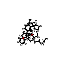 CC#N.CCCN(CCc1ccccc1)C(CC)CCc1c(C2(C(F)(F)F)CCCC2)cccc1C1(C(F)(F)F)CCCC1